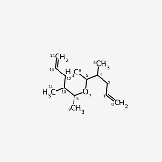 C=CCC(C)C(C)OC(C)C(C)CC=C